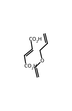 C=CCOC=C.O=C(O)C=CC(=O)O